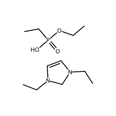 CCN1C=CN(CC)C1.CCOP(=O)(O)CC